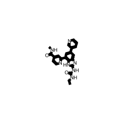 CCNC(=O)Nc1nc2cc(-c3cccnc3)cc(-c3cc(C(=O)NC)ccn3)c2[nH]1